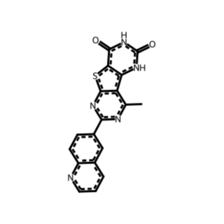 Cc1nc(-c2ccc3ncccc3c2)nc2sc3c(=O)[nH]c(=O)[nH]c3c12